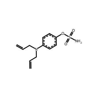 C=CCN(CC=C)c1ccc(OS(N)(=O)=O)cc1